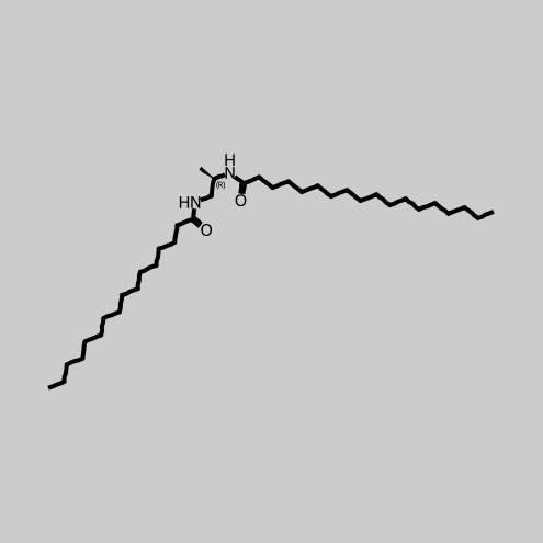 CCCCCCCCCCCCCCCCCC(=O)N[C@H](C)CNC(=O)CCCCCCCCCCCCCCC